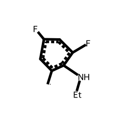 [CH2]c1cc(F)cc(F)c1NCC